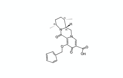 C[C@@H]1CC[C@H](C)[C@@H]2Cn3cc(C(=O)O)c(=O)c(OCc4ccccc4)c3C(=O)N12